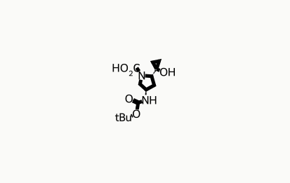 CC(C)(C)OC(=O)N[C@H]1C[C@@H](C2(O)CC2)N(C(=O)O)C1